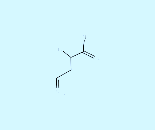 C=CCC(S)C(N)=O